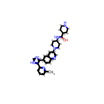 Cc1cccc(-c2[nH]cnc2-c2ccc3ncc(N4CCC(NC(O)C5CCNCC5)CC4)cc3c2)n1